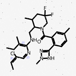 C\C=C(Cl)/C=N\C(NCC1C(C)CC(F)(F)CN1C(=O)c1cc(C)ccc1-c1nn(C)[nH]1)=C(\C)CC